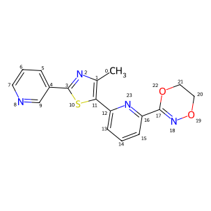 Cc1nc(-c2cccnc2)sc1-c1cccc(C2=NOCCO2)n1